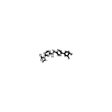 Cc1cc(-c2cnc([C@H](C)Nc3ncnc(N4CCOC4=O)n3)cn2)ccc1F